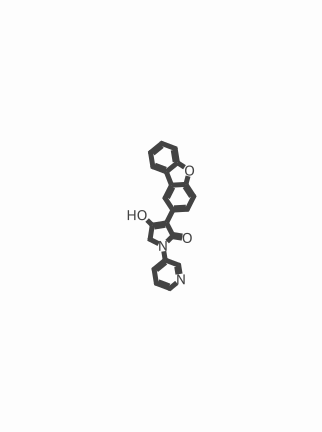 O=C1C(c2ccc3oc4ccccc4c3c2)=C(O)CN1c1cccnc1